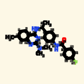 Cc1ccc2c(NC(C)c3ccc(NC(=O)c4ccc(F)cc4)cc3)nc(N(C)C)nc2c1